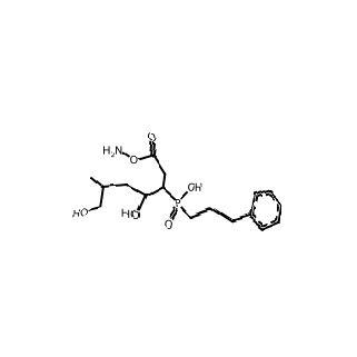 CC(CO)CC(O)C(CC(=O)ON)P(=O)(O)CCCc1ccccc1